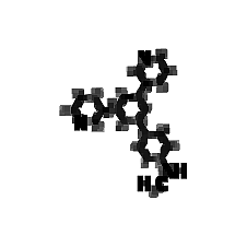 CNc1ccc(-c2cc(-c3cccnc3)cc(-c3cccnc3)c2)cc1